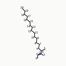 C/[C]=C(\C)C(C)CCCCCCCCCCCCCCC